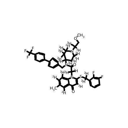 [2H]c1c(C)c([2H])c2c(=O)c([2H])c(SC([2H])([2H])c3cccc(F)c3F)n(C([2H])([2H])C(=O)N(Cc3ccc(-c4ccc(C(F)(F)F)cc4)cc3)C3([2H])C([2H])([2H])C([2H])([2H])N(C([2H])([2H])COC)C([2H])([2H])C3([2H])[2H])c2c1[2H]